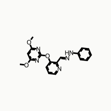 COc1cc(OC)nc(Oc2cccnc2C=NNc2ccccc2)n1